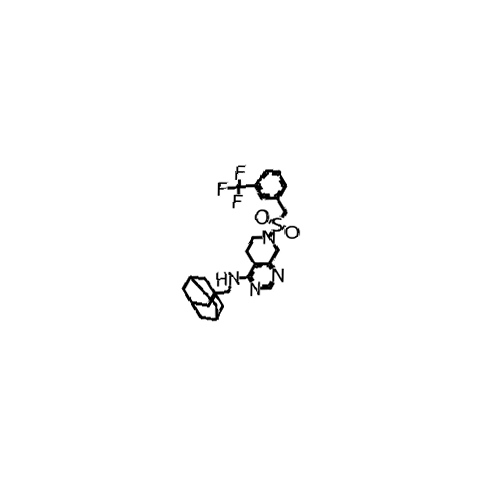 O=S(=O)(Cc1cccc(C(F)(F)F)c1)N1CCc2c(ncnc2NCC23CC4CC(CC(C4)C2)C3)C1